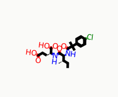 CC[C@H](C)[C@H](NC(=O)C(C)(C)c1ccc(Cl)cc1)C(=O)N[C@H](CCC(=O)O)C(=O)O